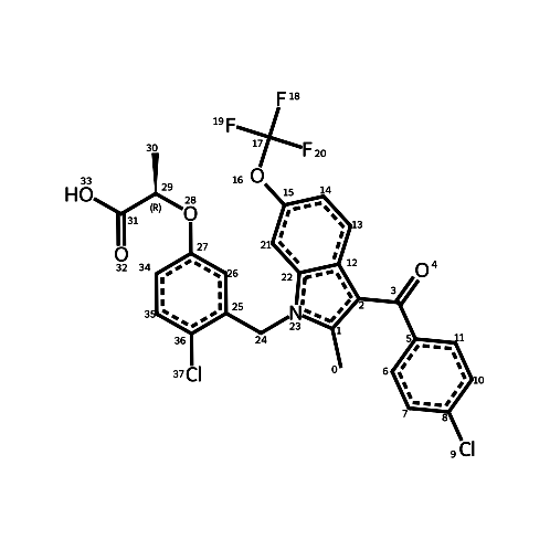 Cc1c(C(=O)c2ccc(Cl)cc2)c2ccc(OC(F)(F)F)cc2n1Cc1cc(O[C@H](C)C(=O)O)ccc1Cl